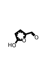 O=Cc1ccc(O)o1